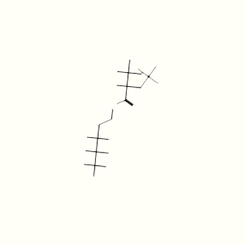 CCC(C)(C)CC(C(=O)OCCC(F)(F)C(F)(F)C(F)(F)C(F)(F)F)(C(F)(F)F)C(C)(C)CC